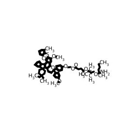 CCCCC(C)(N)OCC(C)C(C)(C)OC(=O)CCC(=O)OCCOc1ccc(C2(c3ccc(OC)cc3)C=Cc3c4c(c5cc(Sc6c(C)cccc6C)c(OC)cc5c3O2)-c2ccccc2C42CCC(CC)(CC)CC2)cc1